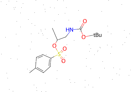 Cc1ccc(S(=O)(=O)OC(C)CNC(=O)OC(C)(C)C)cc1